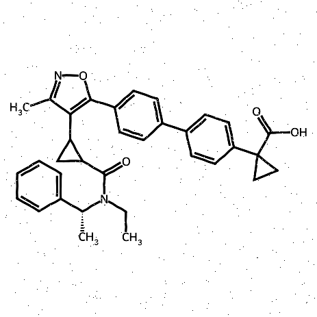 CCN(C(=O)C1CC1c1c(C)noc1-c1ccc(-c2ccc(C3(C(=O)O)CC3)cc2)cc1)[C@H](C)c1ccccc1